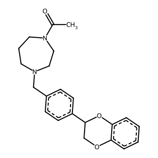 CC(=O)N1CCCN(Cc2ccc(C3COc4ccccc4O3)cc2)CC1